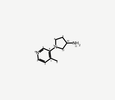 Cc1ccn[c]c1N1CCC(N)C1